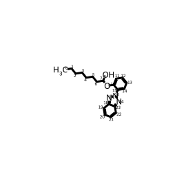 CCCCCCCC(O)Oc1ccccc1-n1nc2ccccc2n1